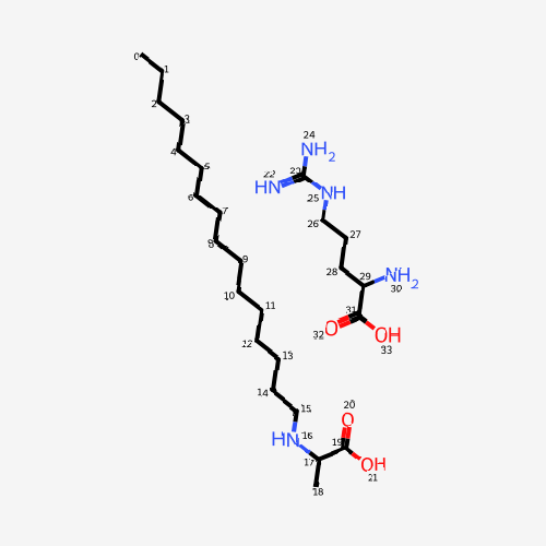 CCCCCCCCCCCCCCCCNC(C)C(=O)O.N=C(N)NCCCC(N)C(=O)O